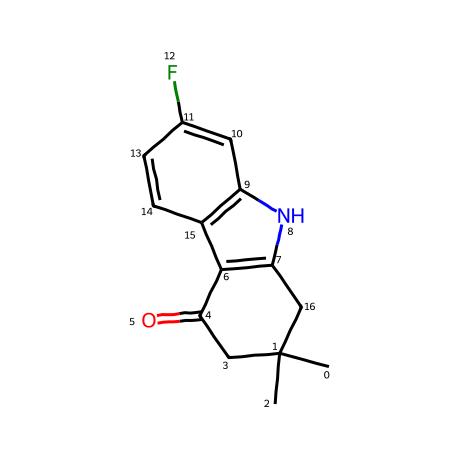 CC1(C)CC(=O)c2c([nH]c3cc(F)ccc23)C1